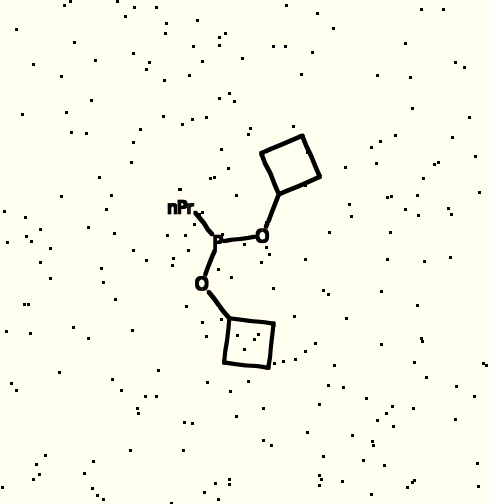 CCCP(OC1CCC1)OC1CCC1